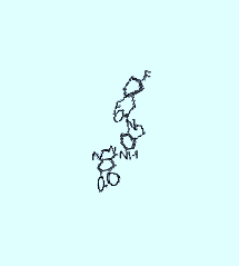 O=C(Cc1cc(F)ccc1F)N1CCc2cc(Nc3ncnc4cc5c(cc34)OCO5)ccc21